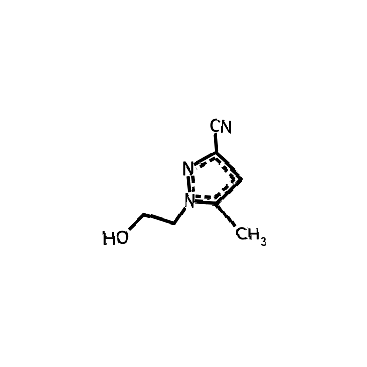 Cc1cc(C#N)nn1CCO